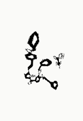 O=C(O)C(F)(F)F.O=C(c1ccc(OCc2ccccc2)c(OCc2ccccc2)c1)[C@H]1CC[C@@H](CCc2ccc(OCc3ccccc3)cc2)N1